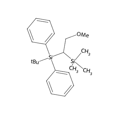 COCC([Si](C)(C)C)[Si](c1ccccc1)(c1ccccc1)C(C)(C)C